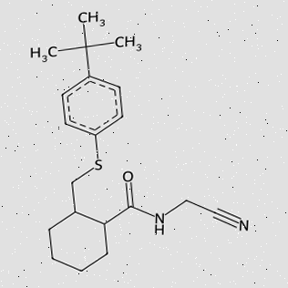 CC(C)(C)c1ccc(SCC2CCCCC2C(=O)NCC#N)cc1